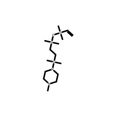 C=C[Si](C)(C)O[Si](C)(C)CC[Si](C)(C)N1CCN(C)CC1